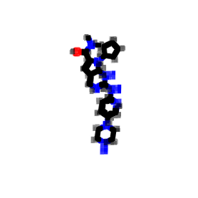 CN(C)C(=O)C1=CC2=CN=C(Nc3ccc(N4CCNCC4)cn3)NC2N1C1CCCC1